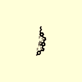 CCCCc1ccc(-c2ccc(-c3ccc(-c4ccc(C5=C(F)C=C(C)CC5)s4)c4nsnc34)s2)c(F)c1